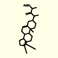 CC(=O)NC(C)C(=O)N(C)C1CCC2(C)C(=CCC3C2CCC24CN(C)C(C)C2CCC34)C1